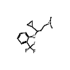 CN(C)CCC(Oc1ccccc1C(F)(F)F)C1CC1